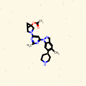 Cc1nc(N2CC3CC3(OC(=O)C(F)(F)F)C2)cc(-n2ncc3cc(C)c(C4CCNCC4)cc32)n1